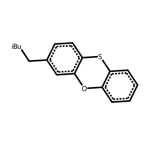 CCC(C)Cc1ccc2c(c1)Oc1ccccc1S2